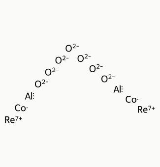 [Al].[Al].[Co].[Co].[O-2].[O-2].[O-2].[O-2].[O-2].[O-2].[O-2].[Re+7].[Re+7]